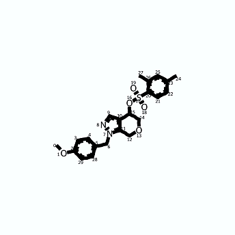 COc1ccc(Cn2ncc3c2COCC3OS(=O)(=O)c2ccc(C)cc2C)cc1